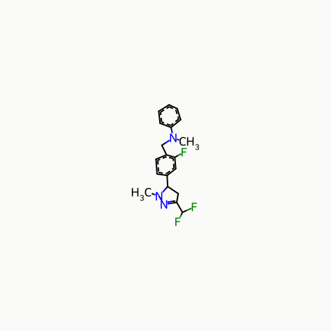 CN(Cc1ccc(C2CC(C(F)F)=NN2C)cc1F)c1ccccc1